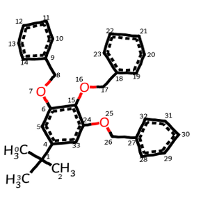 CC(C)(C)c1cc(OCc2ccccc2)c(OCc2ccccc2)c(OCc2ccccc2)c1